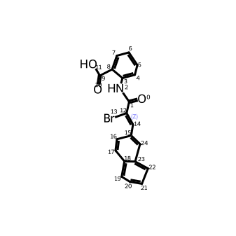 O=C(Nc1ccccc1C(=O)O)/C(Br)=C/c1ccc2ccccc2c1